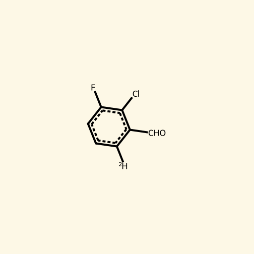 [2H]c1ccc(F)c(Cl)c1C=O